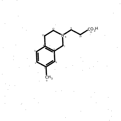 Cc1ccc2c(c1)CN(CCC(=O)O)CC2